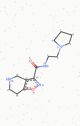 O=C(NCCN1CCCC1)c1noc2c1CNCC2